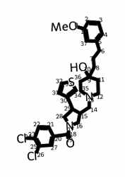 COc1cccc(CCCC2(O)CCN(CC3CN(C(=O)c4ccc(Cl)c(Cl)c4)CC3c3ccsc3)CC2)c1